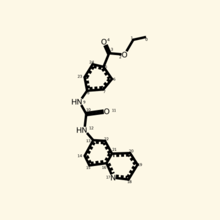 CCOC(=O)c1ccc(NC(=O)Nc2ccc3ncccc3c2)cc1